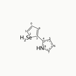 C1=C[SeH2]C(c2ccc[nH]2)=C1